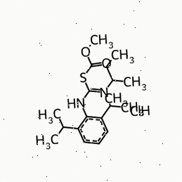 CCC(C)N=C(Nc1c(C(C)C)cccc1C(C)C)SC(=O)OC.Cl